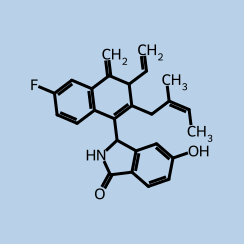 C=CC1C(=C)c2cc(F)ccc2C(C2NC(=O)c3ccc(O)cc32)=C1C/C(C)=C\C